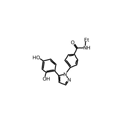 CCNC(=O)c1ccc(-n2nccc2-c2ccc(O)cc2O)cc1